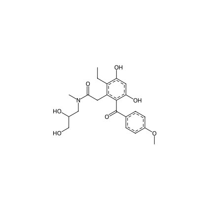 CCc1c(O)cc(O)c(C(=O)c2ccc(OC)cc2)c1CC(=O)N(C)CC(O)CO